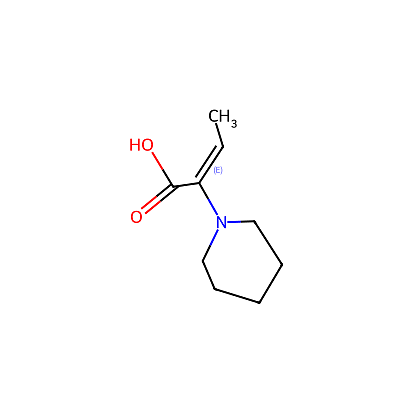 C/C=C(\C(=O)O)N1CCCCC1